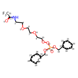 O=C(NCCOCCOCCOOP(=O)(OCc1ccccc1)OCc1ccccc1)C(F)(F)F